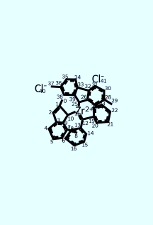 CC1=Cc2cccc(C)c2[CH]1[Zr+2](=[C](c1ccccc1)c1ccccc1)[CH]1c2cc(C)ccc2-c2ccc(C)cc21.[Cl-].[Cl-]